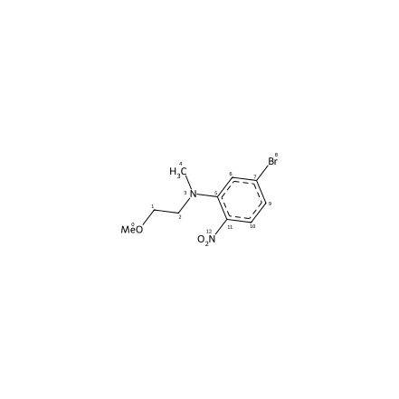 COCCN(C)c1cc(Br)ccc1[N+](=O)[O-]